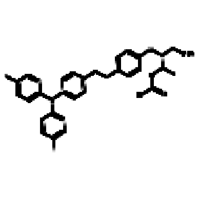 CCC(=O)OC(C)C(CC=O)Oc1ccc(CCc2ccc(N(c3ccc(C)cc3)c3ccc(C)cc3)cc2)cc1